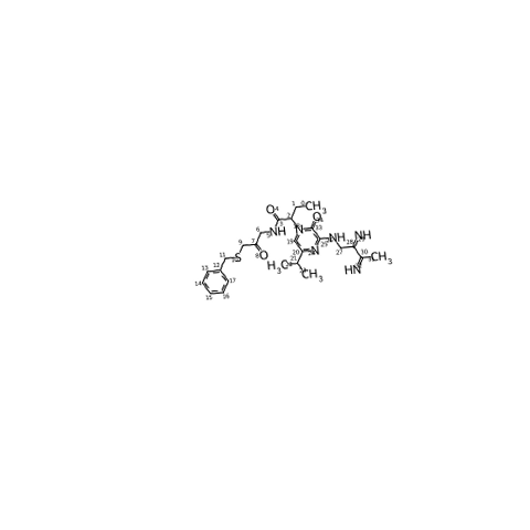 CCC(C(=O)NCC(=O)CSCc1ccccc1)n1cc(C(C)C)nc(NCC(=N)C(C)=N)c1=O